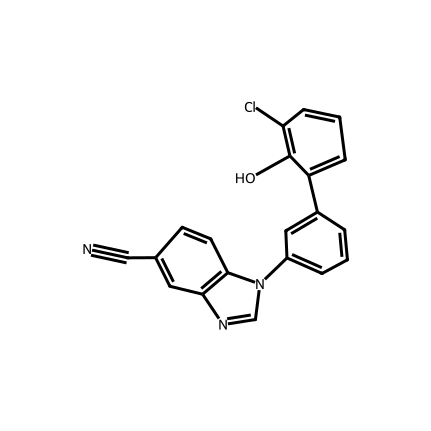 N#Cc1ccc2c(c1)ncn2-c1cccc(-c2cccc(Cl)c2O)c1